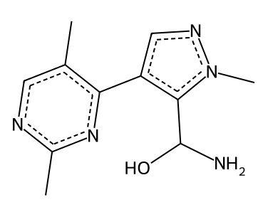 Cc1ncc(C)c(-c2cnn(C)c2C(N)O)n1